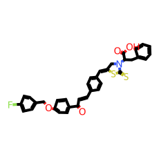 O=C(/C=C/c1ccc(C=C2CN(C(Cc3ccccc3)C(=O)O)C(=S)S2)cc1)c1ccc(OCc2ccc(F)cc2)cc1